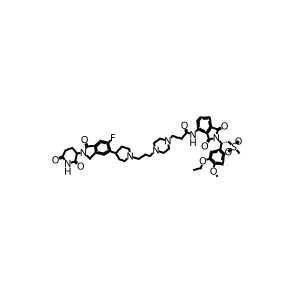 CCOc1cc([C@@H](CS(C)(=O)=O)N2C(=O)c3cccc(NC(=O)CCN4CCN(CCCN5CCC(c6cc7c(cc6F)C(=O)N(C6CCC(=O)NC6=O)C7)CC5)CC4)c3C2=O)ccc1OC